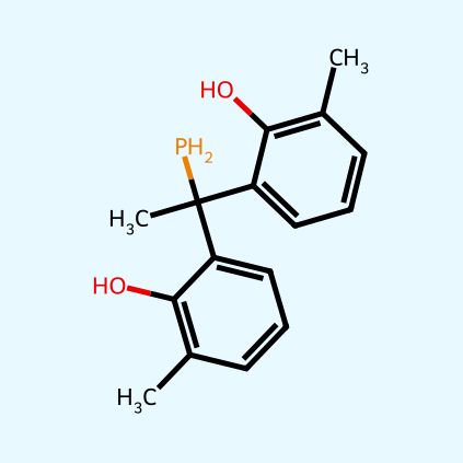 Cc1cccc(C(C)(P)c2cccc(C)c2O)c1O